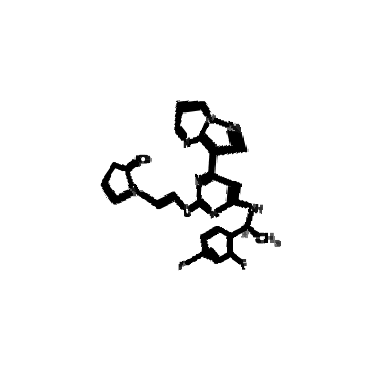 C[C@H](Nc1cc(-c2cnn3cccnc23)nc(OCCN2CCCC2=O)n1)c1ccc(F)cc1F